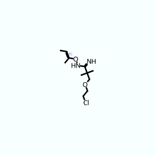 C/C=C(\C)ONC(=N)C(C)(C)COCCCl